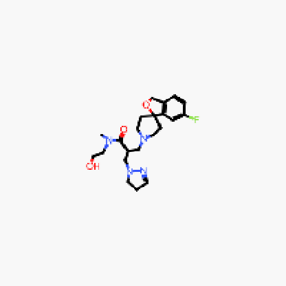 CN(CCO)C(=O)C(CN1CCC2(CC1)OCc1ccc(F)cc12)CN1CCC=N1